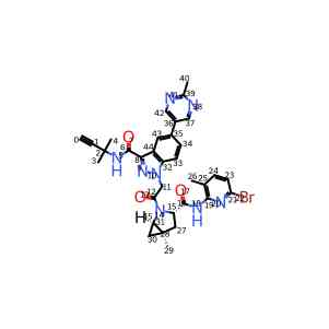 C#CC(C)(C)NC(=O)c1nn(CC(=O)N2[C@H](C(=O)Nc3nc(Br)ccc3C)C[C@@]3(C)C[C@@H]23)c2ccc(-c3cnc(C)nc3)cc12